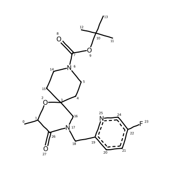 CC1OC2(CCN(C(=O)OC(C)(C)C)CC2)CN(Cc2ccc(F)cn2)C1=O